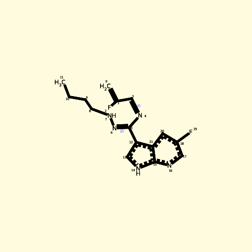 C=C(F)/C=N\C(=N/NCCCC)c1c[nH]c2ncc(F)cc12